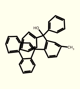 Cc1ccc(-c2cc3ccccc3c3ccccc23)c(C(O)(c2ccccc2)c2ccccc2)c1